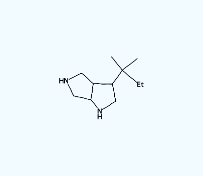 CCC(C)(C)C1CNC2CNCC21